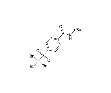 CCCCNC(=O)c1ccc(S(=O)(=O)C(Br)(Br)Br)cc1